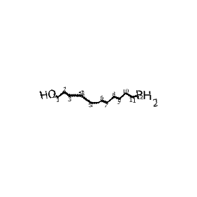 OCCCCCCCCCCCP